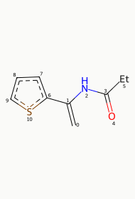 C=C(NC(=O)CC)c1cccs1